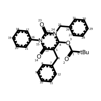 CC(C)(C)C(=O)Oc1c(Cc2ccccc2)c(=O)n(-c2ccccc2)c(=O)n1Cc1ccccc1